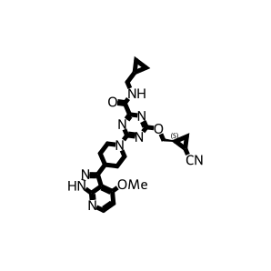 COc1ccnc2[nH]nc(C3CCN(c4nc(OC[C@H]5CC5C#N)nc(C(=O)NCC5CC5)n4)CC3)c12